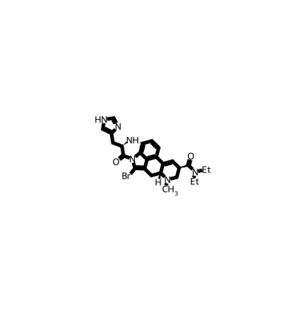 CCN(CC)C(=O)[C@@H]1C=C2c3cccc4c3c(c(Br)n4C(=O)[C@@H](N)Cc3c[nH]cn3)C[C@H]2N(C)C1